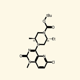 CC[C@@H]1CN(c2nc(=O)n(C)c3ccc(Cl)nc23)[C@@H](C)CN1C(=O)OC(C)(C)C